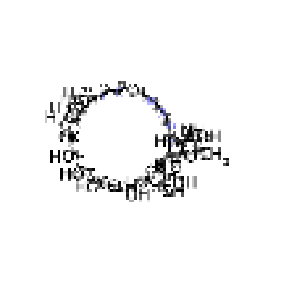 C[C@@H]1OC(=O)CC(O)CC(O)CC(O)CCCC(O)CC2(O)C[C@H](O)C(C(=O)O)[C@H](CC(OC3O[C@H](C)C(O)[C@H](N)[C@@H]3O)/C=C/C=C/C=C/C=C/CC/C=C/C=C/[C@H](C)C(O)[C@H]1C)O2